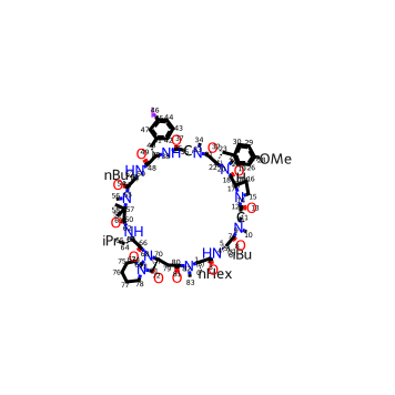 CCCCCC[C@H]1C(=O)N[C@@H]([C@@H](C)CC)C(=O)N(C)CC(=O)N2CC[C@H]2C(=O)N(C)[C@@H](Cc2ccc(OC)cc2)C(=O)N(C)CC(=O)N[C@@H](Cc2cccc(I)c2)C(=O)N[C@@H](CCCC)C(=O)N(C)C(C)(C)C(=O)N[C@@H](CC(C)C)C(=O)N(C)[C@H](C(=O)N2CCCCC2)CC(=O)N1C